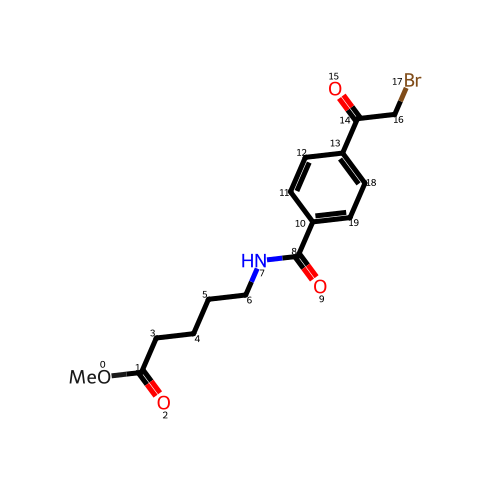 COC(=O)CCCCNC(=O)c1ccc(C(=O)CBr)cc1